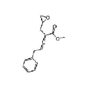 COC(=O)C(=C=CCc1ccccc1)CC1CO1